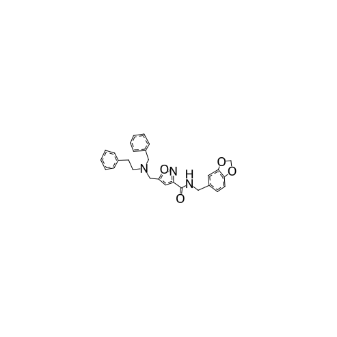 O=C(NCc1ccc2c(c1)OCO2)c1cc(CN(CCc2ccccc2)Cc2ccccc2)on1